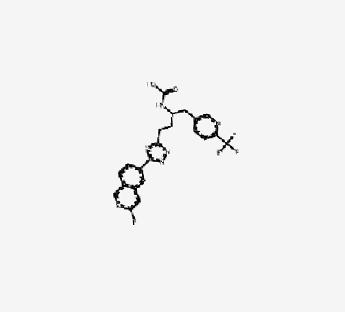 O=C(O)N[C@H](CCc1nnc(-c2ccc3cnc(F)cc3c2)s1)Cc1ccc(C(F)(F)F)nc1